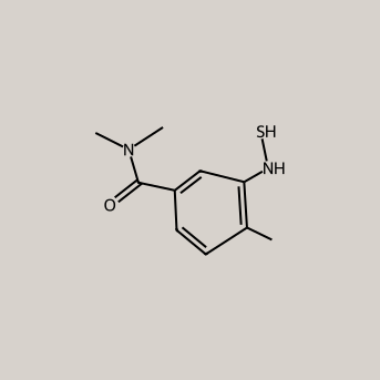 Cc1ccc(C(=O)N(C)C)cc1NS